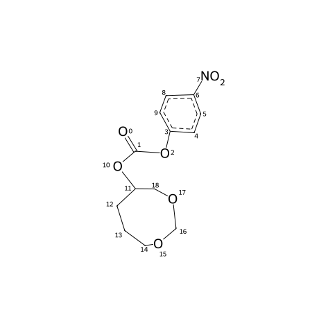 O=C(Oc1ccc([N+](=O)[O-])cc1)OC1CCCOCOC1